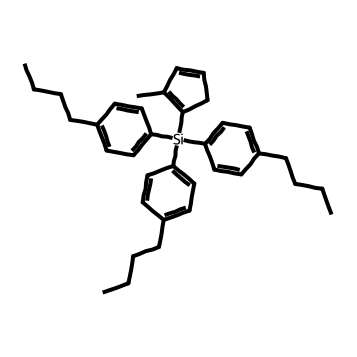 CCCCc1ccc([Si](C2=C(C)C=CC2)(c2ccc(CCCC)cc2)c2ccc(CCCC)cc2)cc1